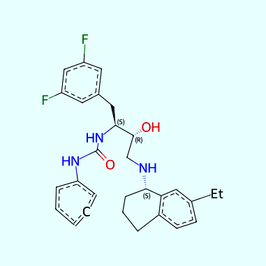 CCc1ccc2c(c1)[C@@H](NC[C@@H](O)[C@H](Cc1cc(F)cc(F)c1)NC(=O)Nc1ccccc1)CCC2